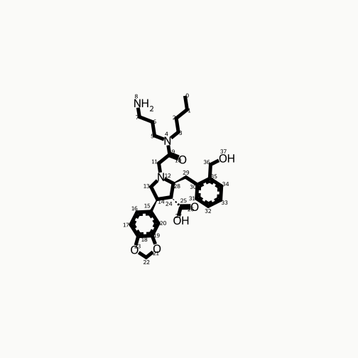 CCCCN(CCCN)C(=O)CN1C[C@H](c2ccc3c(c2)OCO3)[C@@H](C(=O)O)[C@@H]1Cc1ccccc1CO